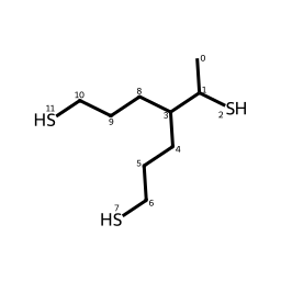 CC(S)C(CCCS)CCCS